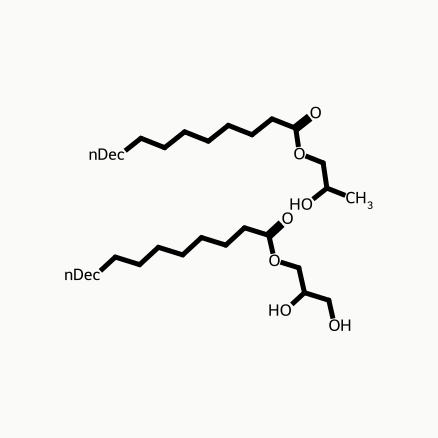 CCCCCCCCCCCCCCCCCC(=O)OCC(C)O.CCCCCCCCCCCCCCCCCC(=O)OCC(O)CO